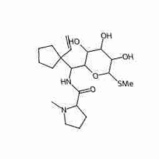 C=CC1(C(NC(=O)C2CCCN2C)C2OC(SC)C(O)C(O)C2O)CCCC1